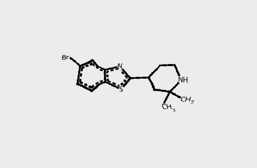 CC1(C)CC(c2nc3cc(Br)ccc3s2)CCN1